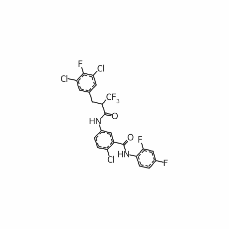 O=C(Nc1ccc(F)cc1F)c1cc(NC(=O)C(Cc2cc(Cl)c(F)c(Cl)c2)C(F)(F)F)ccc1Cl